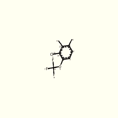 Cc1ccc(OC(F)(F)F)c(Cl)c1C